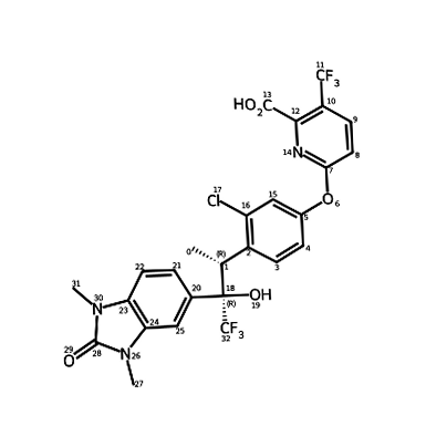 C[C@H](c1ccc(Oc2ccc(C(F)(F)F)c(C(=O)O)n2)cc1Cl)[C@@](O)(c1ccc2c(c1)n(C)c(=O)n2C)C(F)(F)F